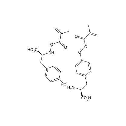 C=C(C)C(=O)ON[C@@H](Cc1ccc(O)cc1)C(=O)O.C=C(C)C(=O)OOc1ccc(C[C@H](N)C(=O)O)cc1